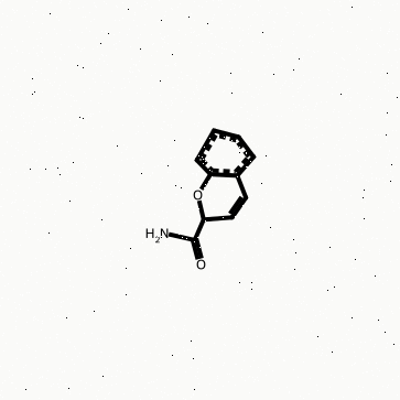 NC(=O)C1C=Cc2ccccc2O1